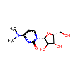 CN(C)c1ccn([C@@H]2O[C@H](CO)[C@H](O)C2O)c(=O)n1